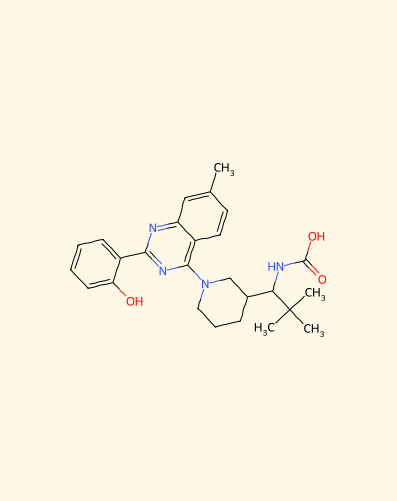 Cc1ccc2c(N3CCCC(C(NC(=O)O)C(C)(C)C)C3)nc(-c3ccccc3O)nc2c1